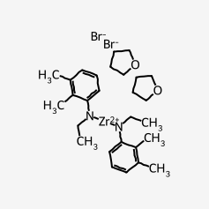 C1CCOC1.C1CCOC1.CC[N]([Zr+2][N](CC)c1cccc(C)c1C)c1cccc(C)c1C.[Br-].[Br-]